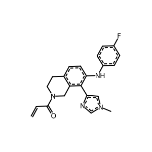 C=CC(=O)N1CCc2ccc(Nc3ccc(F)cc3)c(-c3cn(C)cn3)c2C1